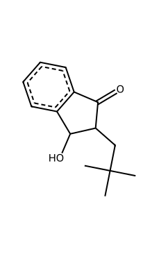 CC(C)(C)CC1C(=O)c2ccccc2C1O